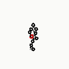 C1#CCC(N(c2ccc3c(c2)sc2c(N(c4ccccc4)c4ccccc4)cccc23)c2ccccc2N(C2=CC=C(c3ccc4sc5ccccc5c4c3)CC2)c2ccccc2)=CC(c2ccccc2)=C1